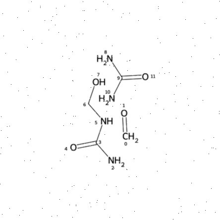 C=O.NC(=O)NCO.NC(N)=O